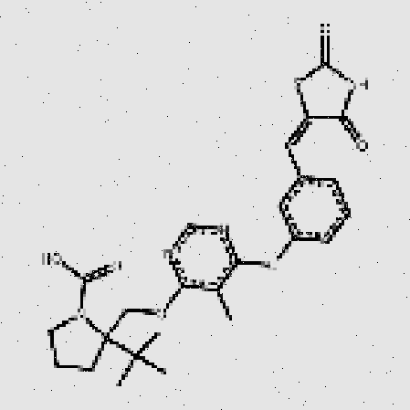 Cc1c(OCC2(C(C)(C)C)CCCN2C(=O)O)ncnc1Oc1cccc(C=C2SC(=O)NC2=O)c1